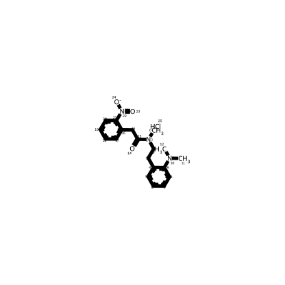 CN(CCc1ccccc1N(C)C)C(=O)Cc1ccccc1[N+](=O)[O-].Cl